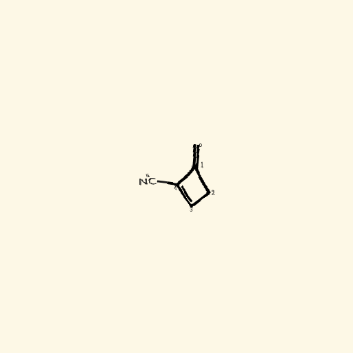 C=C1CC=C1C#N